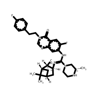 C[C@@H]1[C@@H](N=C(Nc2cc3ncn(CCc4ccc(F)cc4)c(=O)c3cc2F)N2CCN[C@@H](C)C2)C[C@H]2C[C@@H]1C2(C)C